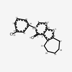 O=c1c2c3c(sc2ncn1-c1cccc(Cl)c1)CCCCC3